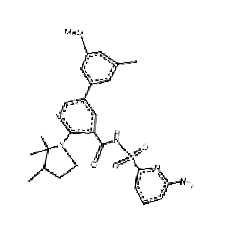 COc1cc(C)cc(-c2cnc(N3CCC(C)C3(C)C)c(C(=O)NS(=O)(=O)c3cccc(N)n3)c2)c1